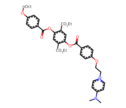 CCCCCCCCOc1ccc(C(=O)Oc2cc(C(=O)OCC)c(OC(=O)c3ccc(OCC[n+]4ccc(N(C)C)cc4)cc3)cc2C(=O)OCC)cc1